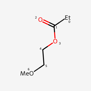 [CH2]CC(=O)OCCOC